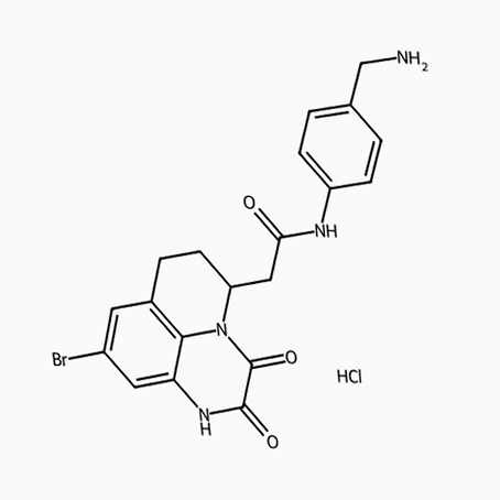 Cl.NCc1ccc(NC(=O)CC2CCc3cc(Br)cc4[nH]c(=O)c(=O)n2c34)cc1